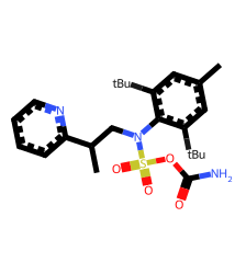 Cc1cc(C(C)(C)C)c(N(CC(C)c2ccccn2)S(=O)(=O)OC(N)=O)c(C(C)(C)C)c1